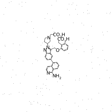 Nc1nccc2c(-c3ccc4nn([C@H]5CCN(CC(=O)O)C5)c(COc5ccccc5CC(=O)O)c4c3)cccc12